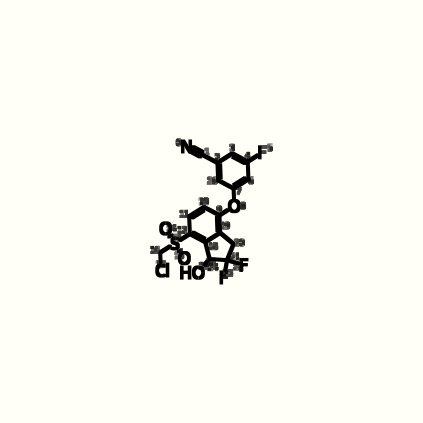 N#Cc1cc(F)cc(Oc2ccc(S(=O)(=O)CCl)c3c2CC(F)(F)[C@H]3O)c1